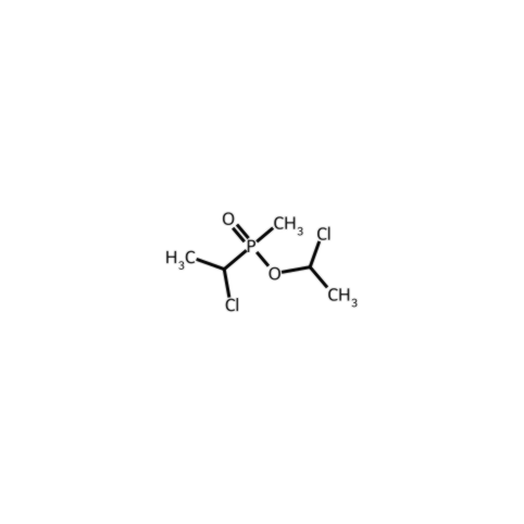 CC(Cl)OP(C)(=O)C(C)Cl